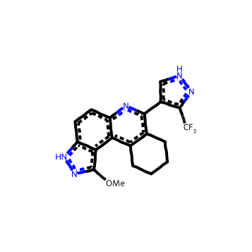 COc1n[nH]c2ccc3nc(-c4c[nH]nc4C(F)(F)F)c4c(c3c12)CCCC4